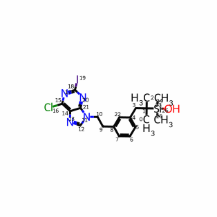 CC(C)(Cc1cccc(CCn2cnc3c(Cl)nc(I)nc32)c1)[Si](C)(C)O